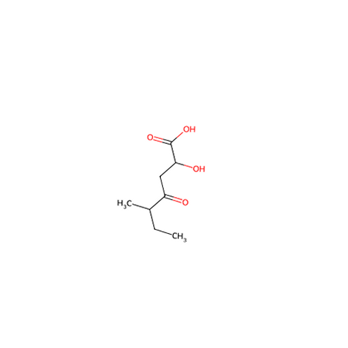 CCC(C)C(=O)CC(O)C(=O)O